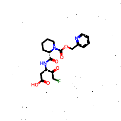 O=C(O)CC(NC(=O)[C@@H]1CCCCN1C(=O)OCc1ccccn1)C(=O)CF